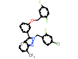 Fc1ccc(F)c(COc2cccc(-c3c4cccc(C(F)(F)F)c4nn3Cc3ccc(Cl)cc3F)c2)c1